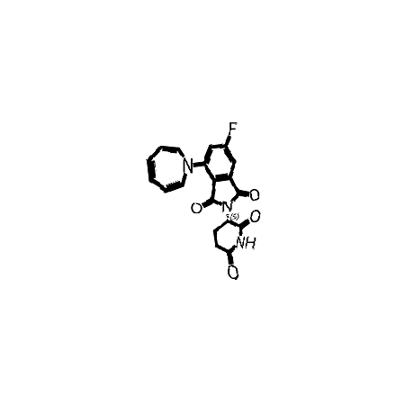 O=C1CC[C@H](N2C(=O)c3cc(F)cc(N4C=CC=CC=C4)c3C2=O)C(=O)N1